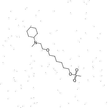 CN(CCOCCCCCCOS(C)(=O)=O)C1CC[CH]CC1